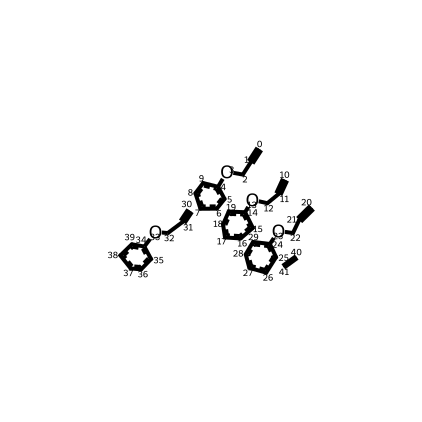 C#CCOc1ccccc1.C#CCOc1ccccc1.C#CCOc1ccccc1.C#CCOc1ccccc1.C=C